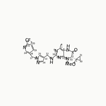 COC1([C@H]2C(=O)Nc3c(C)nc(NCc4cnn(Cc5ccc(C(F)(F)F)nc5)c4)nc3N2C)CC1